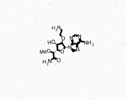 COC(C(N)=O)[C@H]1O[C@@H](n2cnc3c(N)ncnc32)[C@H](OCCN)[C@@H]1O